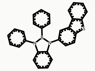 c1ccc(B2N(c3ccccc3)c3ccccc3N2c2ccc3sc4ccccc4c3c2)cc1